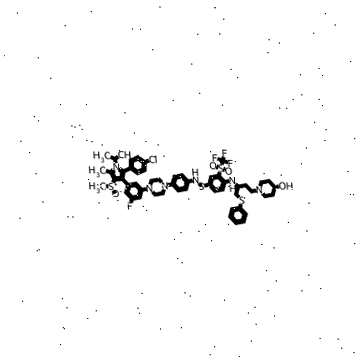 Cc1c([S+](C)[O-])c(-c2cc(F)cc(N3CCN(c4ccc(NSc5ccc(NC(CCN6CCC(O)CC6)CSc6ccccc6)c(S(=O)(=O)C(F)(F)F)c5)cc4)CC3)c2)c(-c2ccc(Cl)cc2)n1C(C)C